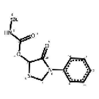 CC(C)(C)NC(=O)OC1SCN(c2ccccc2)C1=O